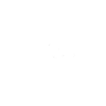 C=Cc1ccc(OCC(=O)OC(=Cc2ccccc2)C2(C)CC[Si](C)(C)CC2)cc1